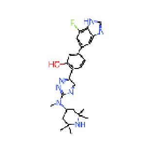 CN(c1ncc(-c2ccc(-c3cc(F)c4[nH]cnc4c3)cc2O)nn1)C1CC(C)(C)NC(C)(C)C1